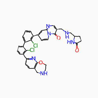 O=C1CCC(CNCc2cnc3cc(-c4cccc(-c5cccc(-c6ccc7c(n6)OCCNC7)c5Cl)c4Cl)ccn3c2=O)N1